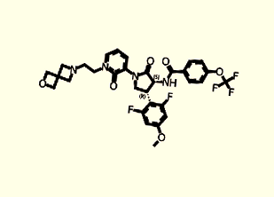 COc1cc(F)c([C@@H]2CN(c3cccn(CCN4CC5(COC5)C4)c3=O)C(=O)[C@H]2NC(=O)c2ccc(OC(F)(F)F)cc2)c(F)c1